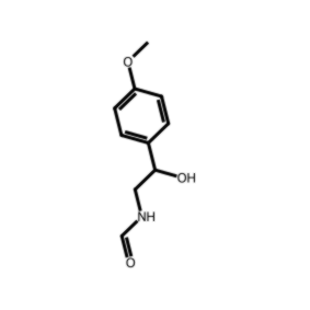 COc1ccc(C(O)CNC=O)cc1